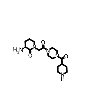 N[C@H]1CCCN(CC(=O)N2CCN(C(=O)C3CCNCC3)CC2)C1=O